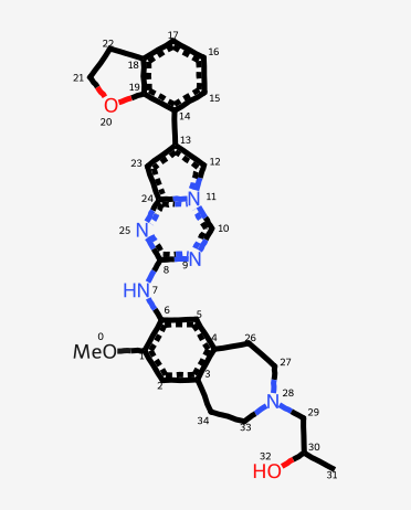 COc1cc2c(cc1Nc1ncn3cc(-c4cccc5c4OCC5)cc3n1)CCN(CC(C)O)CC2